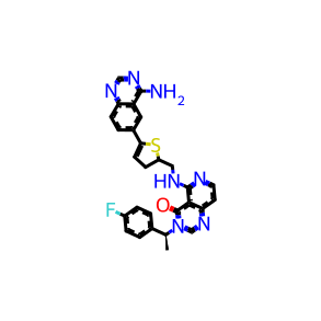 C[C@@H](c1ccc(F)cc1)n1cnc2ccnc(NCC3CC=C(c4ccc5ncnc(N)c5c4)S3)c2c1=O